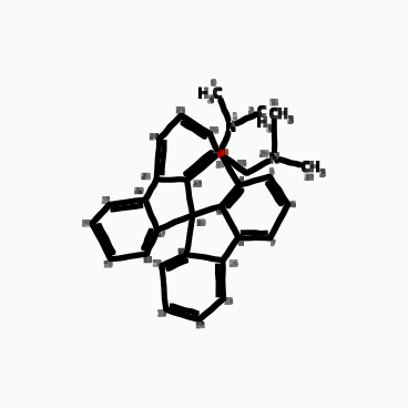 CN(C)Cc1cccc2c1C1(c3ccccc3-2)c2ccccc2-c2cccc(CN(C)C)c21